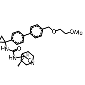 COCCOCc1ccc(-c2ccc(C3(NC(=O)N[C@@]4(C)CN5CCC4CC5)CC3)cc2)cc1